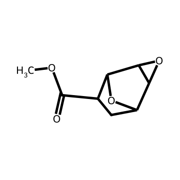 COC(=O)C1CC2OC1C1OC21